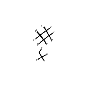 FC1(F)C(F)(F)C(F)(F)C1(F)F.FCC(F)(F)F